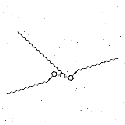 CCCCCCCCCCCCCCCCCCC#Cc1cccc(N=CC(C=CCCCCCCCCCCCCCCCCCCCCCCC)=Nc2cccc(C#CCCCCCCCCCCCCCCCCCC)c2)c1